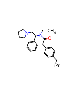 C.CC(C)Cc1ccc(CC(=O)N(C)C(CN2CCCC2)c2ccccc2)cc1